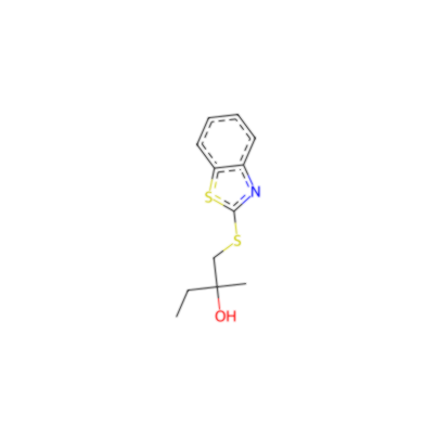 CCC(C)(O)CSc1nc2ccccc2s1